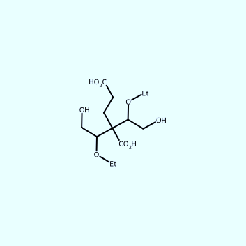 CCOC(CO)C(CCC(=O)O)(C(=O)O)C(CO)OCC